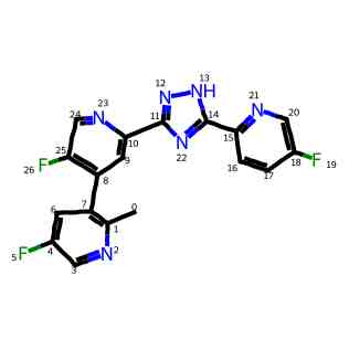 Cc1ncc(F)cc1-c1cc(-c2n[nH]c(-c3ccc(F)cn3)n2)ncc1F